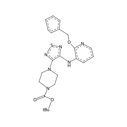 CC(C)(C)OC(=O)N1CCN(c2nsnc2Nc2cccnc2OCc2ccccc2)CC1